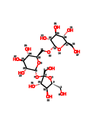 OC[C@H]1O[C@@](CO)(O[C@H]2O[C@H](CO[C@H]3O[C@H](CO)[C@@H](O)[C@H](O)[C@H]3O)[C@@H](O)[C@H](O)[C@H]2O)[C@@H](O)[C@@H]1O